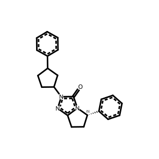 O=c1n(C2CCC(c3ccccc3)C2)nc2n1[C@H](c1ccccc1)CC2